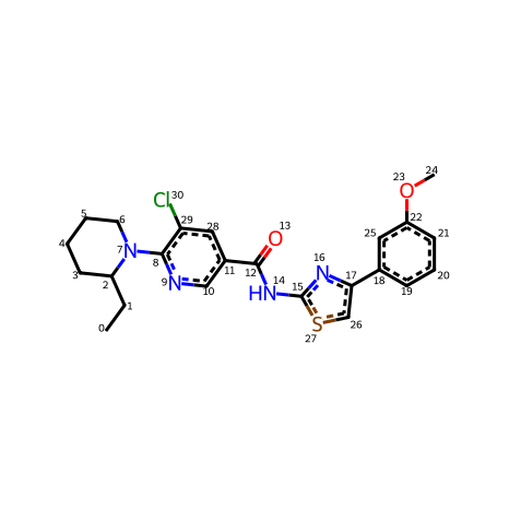 CCC1CCCCN1c1ncc(C(=O)Nc2nc(-c3cccc(OC)c3)cs2)cc1Cl